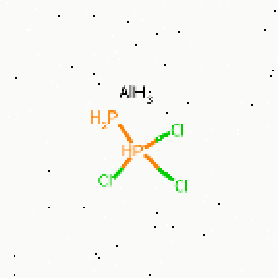 P[PH](Cl)(Cl)Cl.[AlH3]